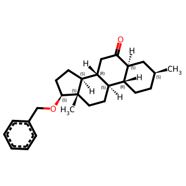 C[C@H]1CC[C@@H]2[C@H]3CC[C@]4(C)[C@@H](OCc5ccccc5)CC[C@H]4[C@@H]3CC(=O)[C@H]2C1